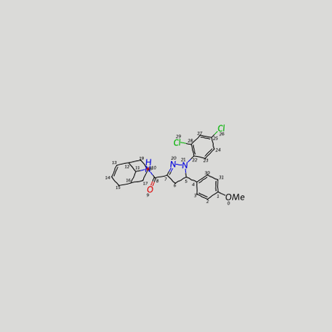 COc1ccc(C2CC(C(=O)NC3C4C=CCC3CCC4)=NN2c2ccc(Cl)cc2Cl)cc1